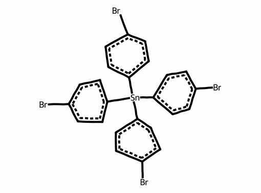 Brc1cc[c]([Sn]([c]2ccc(Br)cc2)([c]2ccc(Br)cc2)[c]2ccc(Br)cc2)cc1